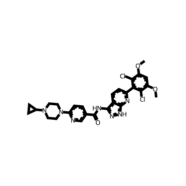 COc1cc(OC)c(Cl)c(-c2ccc3c(NC(=O)c4ccc(N5CCN(C6CC6)CC5)nc4)n[nH]c3n2)c1Cl